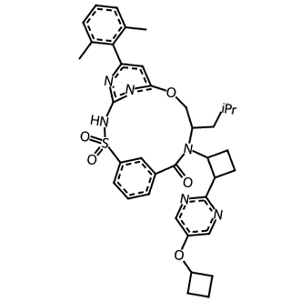 Cc1cccc(C)c1-c1cc2nc(n1)NS(=O)(=O)c1cccc(c1)C(=O)N(C1CCC1c1ncc(OC3CCC3)cn1)C(CC(C)C)CO2